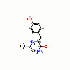 CC(C)N[C@@H](Cc1ccc(O)cc1)C(N)=O